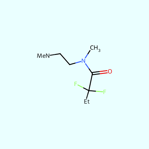 CCC(F)(F)C(=O)N(C)CCNC